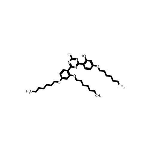 CCCCCCCOc1ccc(-c2nc(Cl)nc(-c3ccc(OCCCCCCC)cc3OCCCCCCC)n2)c(O)c1